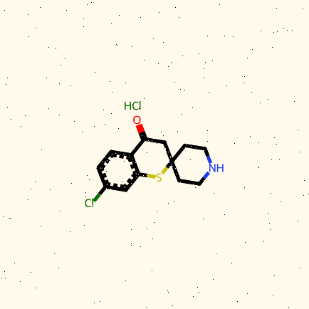 Cl.O=C1CC2(CCNCC2)Sc2cc(Cl)ccc21